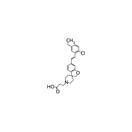 CCc1ccc(Cl)c(C=Cc2ccc3c(c2)OCC32CCN(CCC(=O)O)CC2)c1